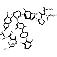 COC(=O)N[C@H](C(=O)N1CCC[C@H]1c1nc2cc([C@H]3CC[C@H](c4cc5nc([C@@H]6CCCN6C(=O)[C@H]([C@@H](C)OC)N(C)C(=O)O)[nH]c5cc4F)N3c3cc(F)c(N4CCN(c5c(F)cccc5F)CC4)c(F)c3)c(F)cc2[nH]1)[C@@H](C)OC